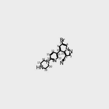 N#Cc1cnn2cc(Br)cc(-c3ccc(N4CCNCC4)nc3)c12